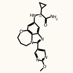 COc1ncc(-c2nc3cc(N[C@H](C(N)=O)C4CC4)cc4c3n2CCCO4)cn1